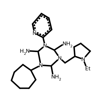 CCN1CCCC1CN1C(N)N(c2ccccn2)C(N)N(C2CCCCCC2)C1N